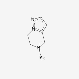 CC(=O)N1CCn2nccc2C1